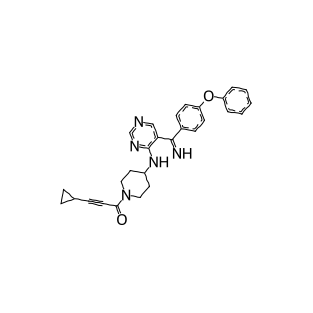 N=C(c1ccc(Oc2ccccc2)cc1)c1cncnc1NC1CCN(C(=O)C#CC2CC2)CC1